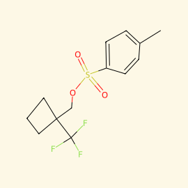 Cc1ccc(S(=O)(=O)OCC2(C(F)(F)F)CCC2)cc1